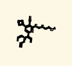 C=CCN(/C=C\C)/C(=C\C)c1cc(C2CCC2)c(C#N)c(SCSCCOC)n1